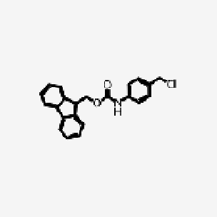 O=C(Nc1ccc(CCl)cc1)OCC1c2ccccc2-c2ccccc21